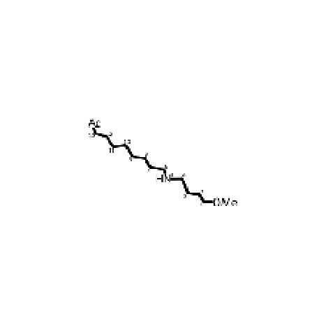 COCCCCNCCCCCCCCC(C)=O